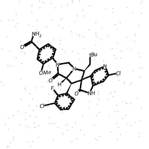 COc1cc(C(N)=O)ccc1N1CN2[C@@H](CC(C)(C)C)C3(C(=O)Nc4cc(Cl)ncc43)[C@@H](c3cccc(Cl)c3F)[C@@H]2C1=O